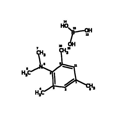 Cc1cc(C)c(N(C)C)c(C)c1.OB(O)O